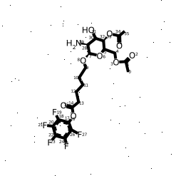 CC(=O)OCC1O[C@@H](OCCCCCC(=O)Oc2c(F)c(F)c(F)c(F)c2F)[C@@H](N)C(O)[C@H]1OC(C)=O